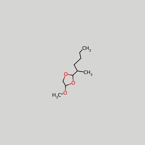 CCCCC(C)C1OCC(OC)O1